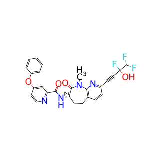 CN1C(=O)[C@@H](NC(=O)c2cc(Oc3ccccc3)ccn2)CCc2ccc(C#CC(O)(F)C(F)F)nc21